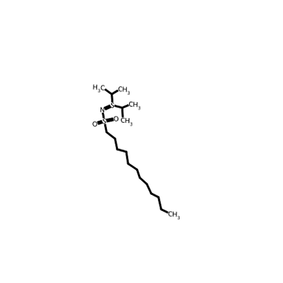 CCCCCCCCCCCCS(=O)(=O)N=S(C(C)C)C(C)C